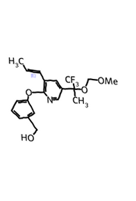 C/C=C/c1cc(C(C)(OCOC)C(F)(F)F)cnc1Oc1cccc(CO)c1